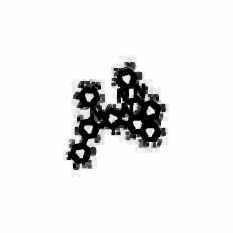 c1ccc(-c2ccc3c(c2)c2cc4c5cc6ccccc6cc5n(-c5nc6ccccc6nc5-c5ccccc5)c4cc2n3-c2ccccc2)cc1